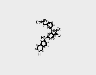 CCN(Cc1cccc(-n2c3nc(Nc4ccc5c(c4)CCNC5)ncc3c(=O)n2CC)n1)C(C)C